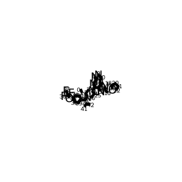 CC[C@@H]1CN(c2nc3nncn3c3c2nc(C)n3C[C@@H]2CCCO2)[C@@H](C)CN1[C@@H](c1ccc(OC(F)(F)F)cc1)C(C)C